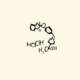 C[AsH]C1CCN(Cc2ccc(Oc3nc4ccccc4s3)cc2)CC1.Cl.Cl